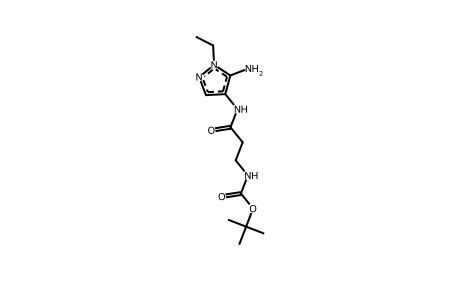 CCn1ncc(NC(=O)CCNC(=O)OC(C)(C)C)c1N